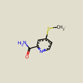 [CH2]Sc1ccnc(C(N)=O)c1